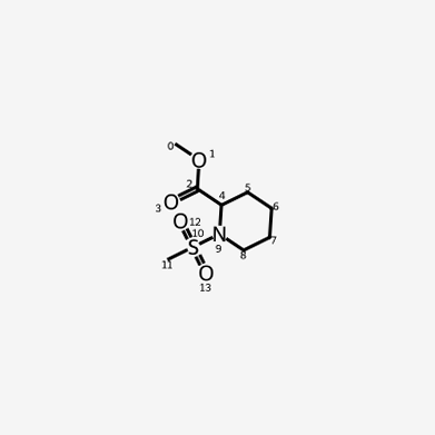 COC(=O)C1CCCCN1S(C)(=O)=O